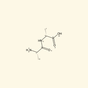 C[C@H](N)C(=O)N[C@H](C)C(=O)O